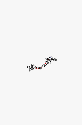 C[C@@]1(O)CC/C=C\Cn2c(=O)c3cnc(Nc4ccc(N5CCN(C6CCN(CC7CCN(c8ccc9c(c8)C(=O)N(C8CCC(=O)NC8=O)C9=O)CC7)CC6)CC5)cc4)nc3n2-c2cccc1n2